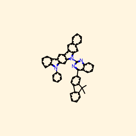 CC1(C)c2ccccc2-c2ccc(-c3nc(-n4c5cc6ccccc6cc5c5cc6c7ccccc7n(-c7ccccc7)c6cc54)nc4ccccc34)cc21